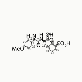 COc1ccc([C@@H](N)C(=O)N[C@H]2Cc3cccc(C(=O)O)c3OB2O)cc1